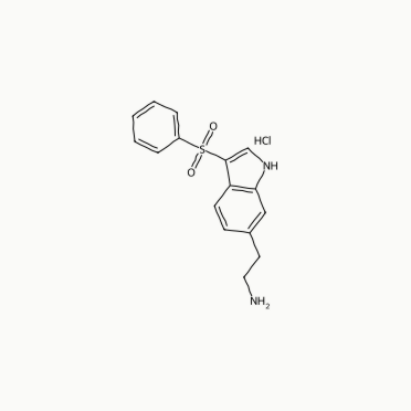 Cl.NCCc1ccc2c(S(=O)(=O)c3ccccc3)c[nH]c2c1